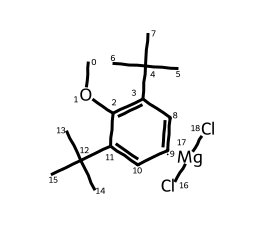 COc1c(C(C)(C)C)c[c]cc1C(C)(C)C.[Cl][Mg][Cl]